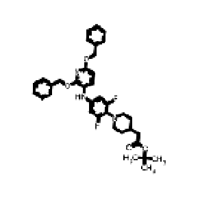 CC(C)(C)OC(=O)CC1CCN(c2c(F)cc(Nc3ccc(OCc4ccccc4)nc3OCc3ccccc3)cc2F)CC1